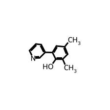 Cc1cc(C)c(O)c(-c2cccnc2)c1